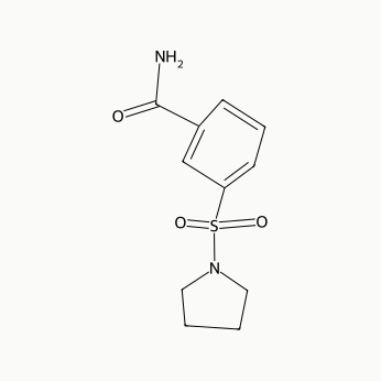 NC(=O)c1cccc(S(=O)(=O)N2CCCC2)c1